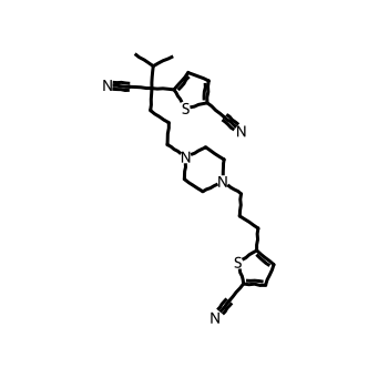 CC(C)C(C#N)(CCCN1CCN(CCCc2ccc(C#N)s2)CC1)c1ccc(C#N)s1